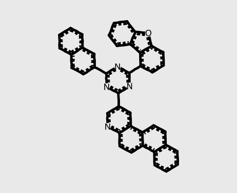 c1ccc2cc(-c3nc(-c4cnc5ccc6c7ccccc7ccc6c5c4)nc(-c4cccc5oc6ccccc6c45)n3)ccc2c1